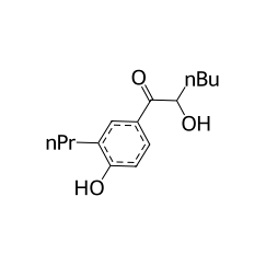 CCCCC(O)C(=O)c1ccc(O)c(CCC)c1